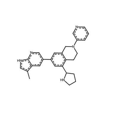 Cc1c[nH]c2ncc(-c3cc4c(c(C5CCCN5)c3)CCN(c3cccnc3)C4)cc12